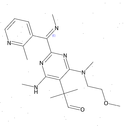 C/N=C(/c1nc(NC)c(C(C)(C)C=O)c(N(C)CCOC)n1)c1cccnc1C